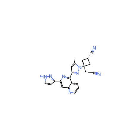 Cc1cc(-c2nc(-c3cc[nH]n3)cc3ncccc23)nn1[C@]1(CC#N)C[C@H](C#N)C1